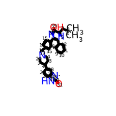 CC(C)Cc1nc(-c2ccccc2)c(-c2ccc(CN3CCC(c4ccc5c(c4)[N]C(=O)N5)CC3)cc2)nc1O